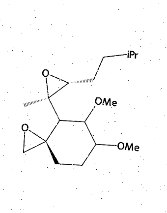 COC1CC[C@]2(CO2)C([C@@]2(C)O[C@@H]2CCC(C)C)C1OC